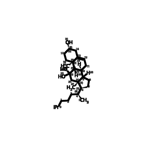 CC(C)CCC[C@@H](C)[C@H]1CC[C@H]2[C@@H]3CC=C4C[C@@H](O)CC[C@]4(C)[C@H]3C(O)(O)C[C@]12C